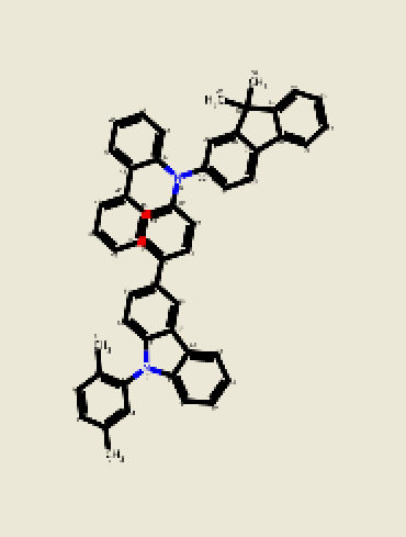 Cc1ccc(C)c(-n2c3ccccc3c3cc(-c4ccc(N(c5ccc6c(c5)C(C)(C)c5ccccc5-6)c5ccccc5-c5ccccc5)cc4)ccc32)c1